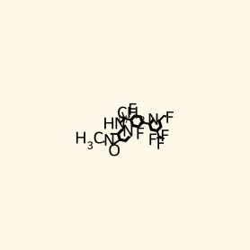 CCN1Cc2c(ccnc2N[C@@H](C)c2cc(F)c(-c3cc(C(F)(F)F)cc(CF)n3)cc2F)C1=O